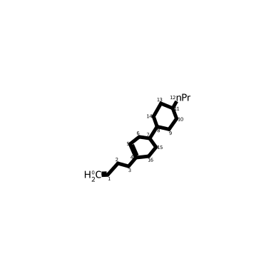 C=CCCC1=CCC(C2CCC(CCC)CC2)CC1